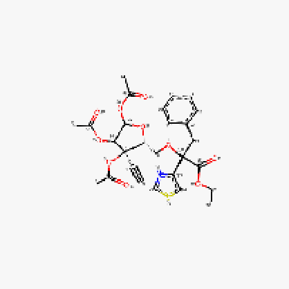 C#C[C@@]1(OC(C)=O)[C@@H](COC(Cc2ccccc2)(C(=O)OCC)c2cscn2)OC(OC(C)=O)[C@@H]1OC(C)=O